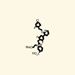 COCCn1c(Cc2c(F)cc(-c3cccnc3OCCc3ccc(Cl)cc3F)cc2F)nc2ccc(C(=O)O)cc21